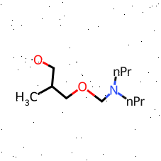 CCCN(CCC)COCC(C)C[O]